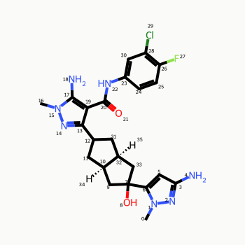 Cn1nc(N)cc1C1(O)C[C@H]2CC(c3nn(C)c(N)c3C(=O)Nc3ccc(F)c(Cl)c3)C[C@H]2C1